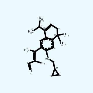 CC(=C(F)C=O)c1cc2c(cc1OCC1CC1)C(C)(C)CC=C2C(C)C